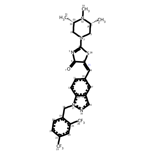 C[C@@H]1CN(C2=NC(=O)/C(=C\c3ccc4c(cnn4Cc4ccc(C(F)(F)F)cc4C(F)(F)F)c3)S2)C[C@H](C)N1C